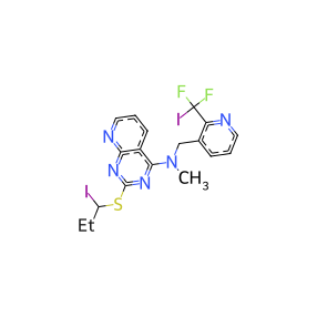 CCC(I)Sc1nc(N(C)Cc2cccnc2C(F)(F)I)c2cccnc2n1